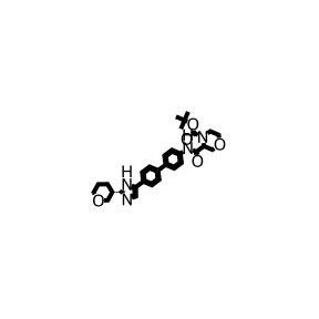 CC(C)(C)OC(=O)N1CCOCC1C(=O)Nc1ccc(-c2ccc(-c3cnc([C@H]4CCCOC4)[nH]3)cc2)cc1